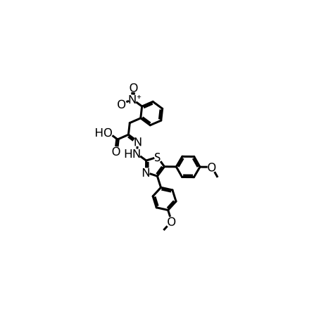 COc1ccc(-c2nc(NN=C(Cc3ccccc3[N+](=O)[O-])C(=O)O)sc2-c2ccc(OC)cc2)cc1